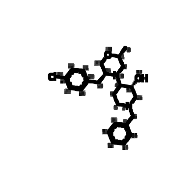 C[C@H]1CN([C@@H]2CCN(Cc3ccccc3)C[C@H]2O)[C@@H](Cc2ccc(Cl)cc2)CO1